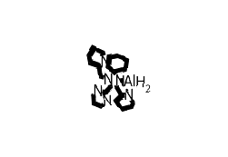 [AlH2][N](Cc1ccccn1)C1(N(Cc2ccccn2)Cc2ncccn2)CCCCC1